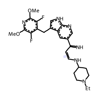 CCN1CCC(N/C=C\C(=N)c2cnc3[nH]cc(Cc4c(F)c(OC)nc(OC)c4F)c3c2)CC1